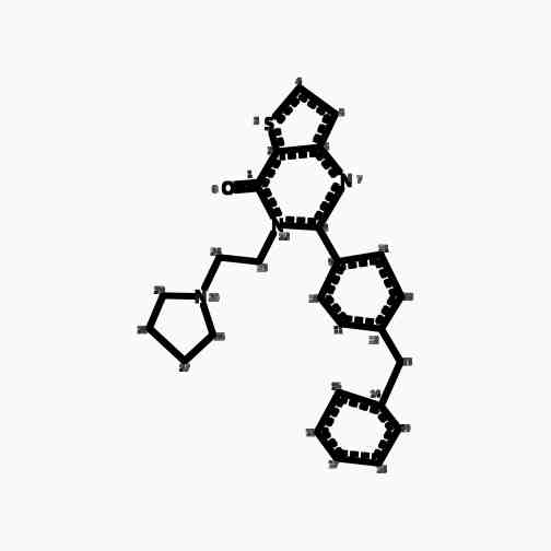 O=c1c2sccc2nc(-c2ccc(Cc3ccccc3)cc2)n1CCN1CCCC1